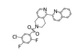 O=S(=O)(c1cc(Cl)c(F)cc1F)N1CCc2c(ccnc2-c2ccc3ccccc3n2)C1